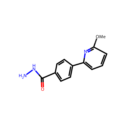 COc1cccc(-c2ccc(C(=O)NN)cc2)n1